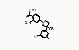 COC(=O)c1ccc(N2CCC(c3cc(Cl)cc(Cl)c3)(C(F)(F)F)C2)cc1[N+](=O)[O-]